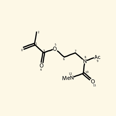 C=C(C)C(=O)OCCN(C(C)=O)C(=O)NC